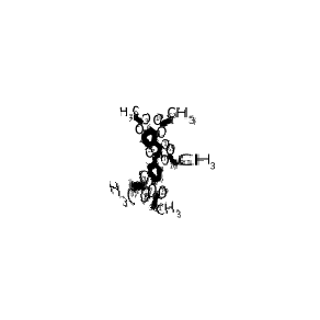 CCC(=O)Oc1cc(OC(=O)CC)c2c(=O)c(OC(=O)CC)c(-c3ccc(OC(=O)CC)c(OC(=O)CC)c3)oc2c1